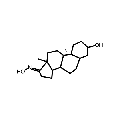 CC12CCC3C(CCC4CC(O)CC[C@@]43C)C1CC/C2=N\O